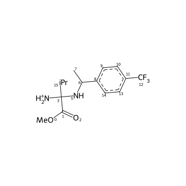 COC(=O)C(N)(NC(C)c1ccc(C(F)(F)F)cc1)C(C)C